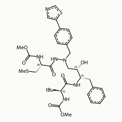 COC(=O)N[C@@H](CSC)C(=O)NN(Cc1ccc(-c2cncs2)cc1)C[C@H](O)[C@H](Cc1ccccc1)NC(=O)[C@@H](NC(=O)OC)C(C)(C)C